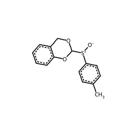 Cc1ccc([S+]([O-])C2OCc3ccccc3O2)cc1